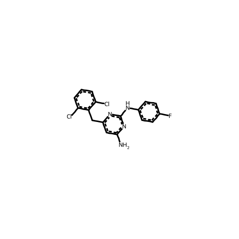 Nc1cc(Cc2c(Cl)cccc2Cl)nc(Nc2ccc(F)cc2)n1